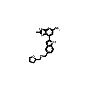 Cc1nc2c(-c3cc4cc(CNCC5CCCO5)ccc4[nH]3)cc(N)nc2[nH]1